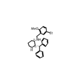 CCc1ccc(OC)c(CN[C@H]2CCCN[C@H]2C(c2ccccc2)c2ccccc2)c1